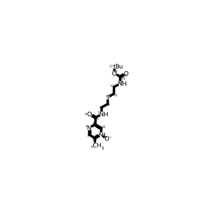 Cc1cnc(C(=O)NCCSCCNC(=O)OC(C)(C)C)c[n+]1[O-]